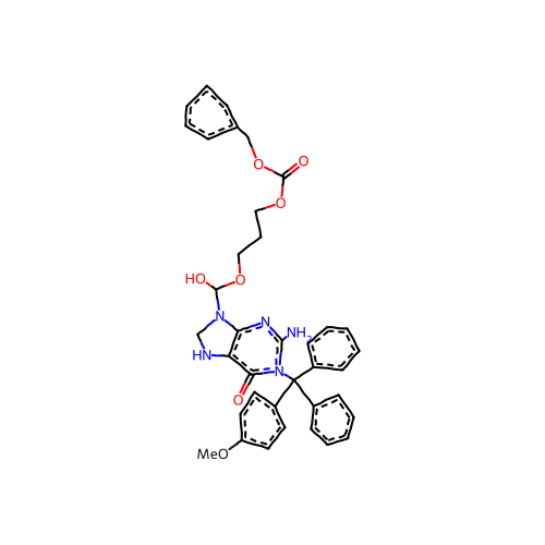 COc1ccc(C(c2ccccc2)(c2ccccc2)n2c(N)nc3c(c2=O)NCN3C(O)OCCCOC(=O)OCc2ccccc2)cc1